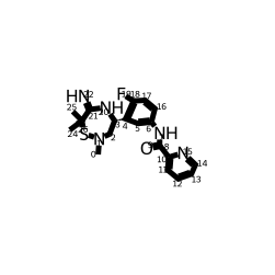 CN1C[C@@H](c2cc(NC(=O)c3ccccn3)ccc2F)NC(=N)C(C)(C)S1